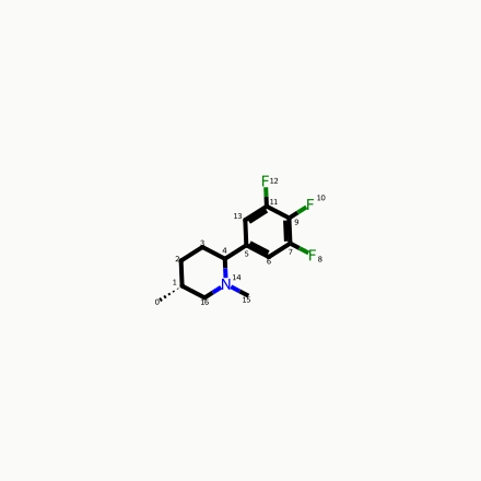 C[C@@H]1CCC(c2cc(F)c(F)c(F)c2)N(C)C1